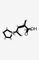 CC(=CC(C)N1CCCC1)C(=O)O